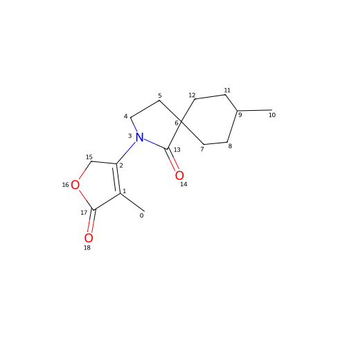 CC1=C(N2CCC3(CCC(C)CC3)C2=O)COC1=O